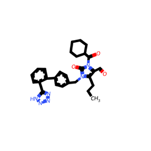 CCCc1c(C=O)n(C(=O)C2CCCCC2)c(=O)n1Cc1ccc(-c2ccccc2-c2nnn[nH]2)cc1